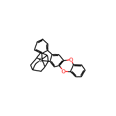 c1ccc2c(c1)Oc1cc3c(cc1O2)C1(c2ccccc2-3)C2CC3CCC(C2)CC1C3